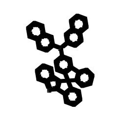 c1ccc2c(c1)-c1cc(N(c3ccc4ccccc4c3)c3ccc4ccccc4c3)ccc1C21c2ccccc2-c2sc3ccccc3c21